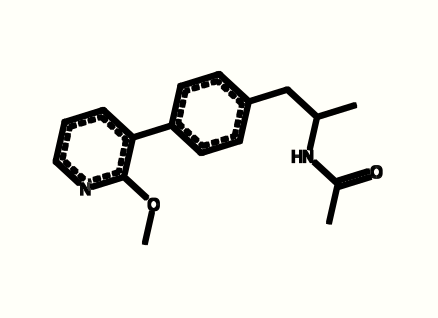 COc1ncccc1-c1ccc(CC(C)NC(C)=O)cc1